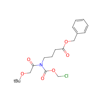 CC(C)(C)OCC(=O)N(CCCC(=O)OCc1ccccc1)C(=O)OCCl